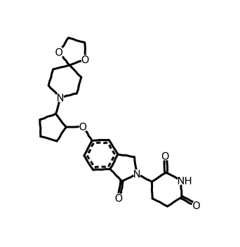 O=C1CCC(N2Cc3cc(OC4CCCC4N4CCC5(CC4)OCCO5)ccc3C2=O)C(=O)N1